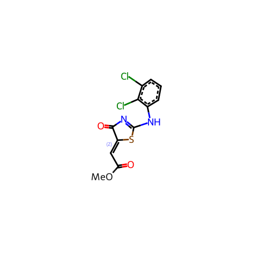 COC(=O)/C=C1\SC(Nc2cccc(Cl)c2Cl)=NC1=O